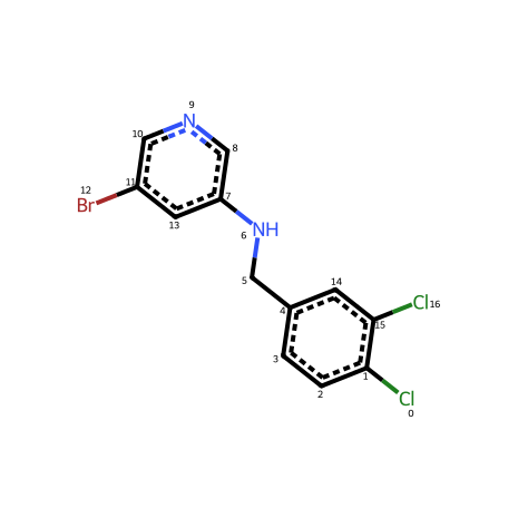 Clc1ccc(CNc2cncc(Br)c2)cc1Cl